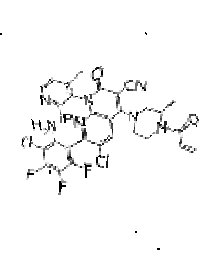 C=CC(=O)N1CCN(c2c(C#N)c(=O)n(-c3c(C)ccnc3C(C)C)c3nc(-c4c(N)c(Cl)c(F)c(F)c4F)c(Cl)cc23)C[C@H]1C